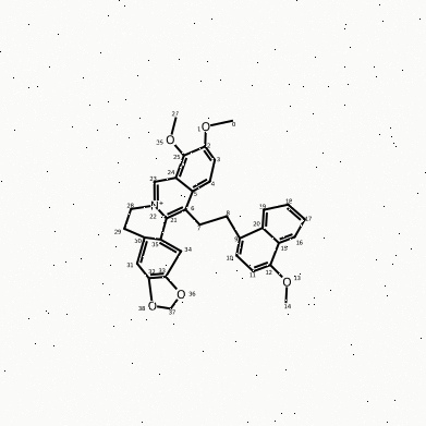 COc1ccc2c(CCc3ccc(OC)c4ccccc34)c3[n+](cc2c1OC)CCc1cc2c(cc1-3)OCO2